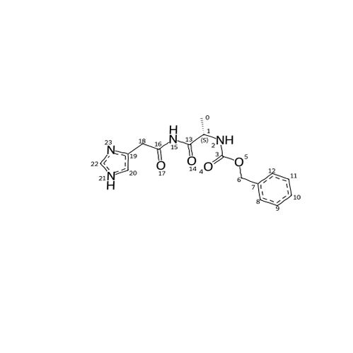 C[C@H](NC(=O)OCc1ccccc1)C(=O)NC(=O)Cc1c[nH]cn1